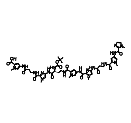 Cn1cc(NC(=O)CCNC(=O)c2nc(NC(=O)[C@@H](CCNC(=O)c3cc(NC(=O)c4nc(NC(=O)CCNC(=O)c5cc(NC(=O)c6nccn6C)cn5C)cn4C)cn3C)NC(=O)OC(C)(C)C)cn2C)cc1C(=O)O